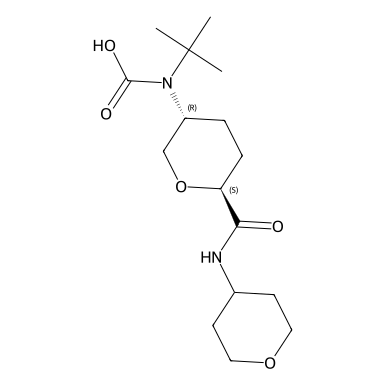 CC(C)(C)N(C(=O)O)[C@@H]1CC[C@@H](C(=O)NC2CCOCC2)OC1